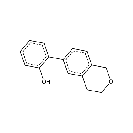 Oc1ccccc1-c1ccc2c(c1)CCOC2